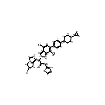 O=C(Nc1nccs1)C(c1ncn2c1CC(F)C2)n1cc2c(Cl)cc(-c3ccc(C4CCN(C5CC5)CC4)cc3)c(Cl)c2n1